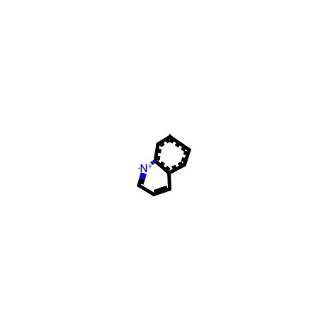 [c]1ccc2c(c1)[N+]=CC=C2